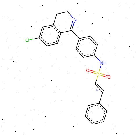 O=S(=O)(/C=C/c1ccccc1)Nc1ccc(C2=NCCc3cc(Cl)ccc32)cc1